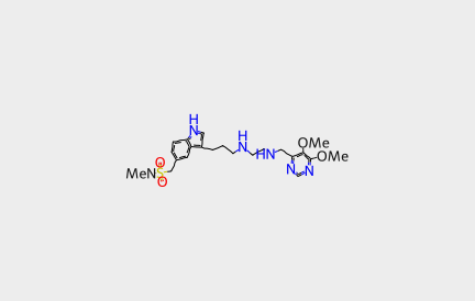 CNS(=O)(=O)Cc1ccc2[nH]cc(CCCNCCNCc3ncnc(OC)c3OC)c2c1